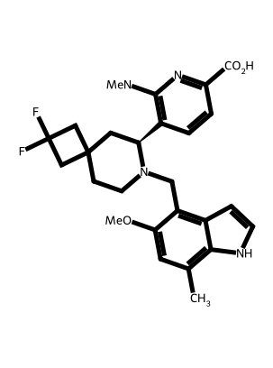 CNc1nc(C(=O)O)ccc1[C@@H]1CC2(CCN1Cc1c(OC)cc(C)c3[nH]ccc13)CC(F)(F)C2